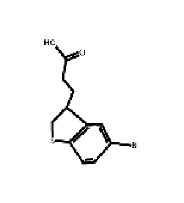 O=C(O)CCC1CSc2ccc(Br)cc21